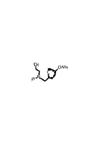 COc1ccc(CN(CCO)C(C)C)cc1